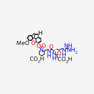 COc1ccc2c3c1OC1C(OC(=O)N4CCC(C(=O)O)CC4CNC(=O)[C@H](CCCNC(=N)N)NC(=O)CC(=O)O)=CC=C4[C@H](CCC[C@]431)C2